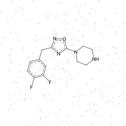 Fc1ccc(Cc2noc(N3CCNCC3)n2)cc1F